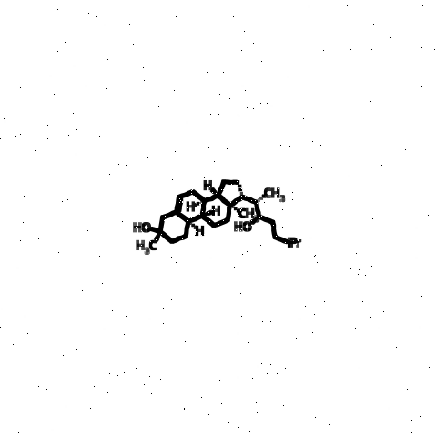 CC(C)CC[C@@H](O)[C@@H](C)[C@H]1CC[C@H]2[C@@H]3CC=C4C[C@@](C)(O)CC[C@@H]4[C@H]3CC[C@]12C